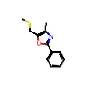 CSCc1oc(-c2ccccc2)nc1C